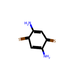 NC1=CC(=S)C(N)=CC1=S